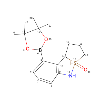 CC1(C)OB(c2cccc3c2C2CCC[SH]2(=O)N3)OC1(C)C